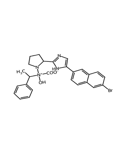 CC(c1ccccc1)[N+](O)(C(=O)[O-])N1CCCC1c1ncc(-c2ccc3cc(Br)ccc3c2)[nH]1